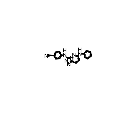 N#Cc1ccc(Nc2nnc3ccc(Nc4ccccc4)nn23)cc1